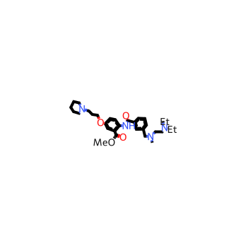 CCN(CC)CCN(C)Cc1cccc(C(=O)Nc2ccc(OCCCN3CCCCC3)cc2C(=O)OC)c1